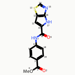 COC(=O)c1ccc(NC(=O)c2cc3scnc3[nH]2)cc1